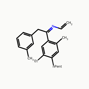 C=C/N=C(/Cc1cccc(C)c1)c1cc(CC)c(CCCCC)cc1C